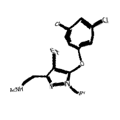 CCc1c(CNC(C)=O)nn(C(C)C)c1Oc1cc(Cl)cc(Cl)c1